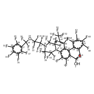 O=C(O)c1c(F)c(F)c(N2C(F)(F)C(F)(F)N(C(F)(F)C(F)(F)OC(F)(F)c3c(F)c(F)c(F)c(F)c3F)C(F)(F)C2(F)F)c(C(F)=C(F)C(F)(F)F)c1-c1c(F)c(F)c(F)c(F)c1F